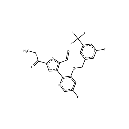 COC(=O)c1cc(-c2ncc(F)cc2OCc2cc(F)cc(C(F)(F)F)c2)c(C=O)s1